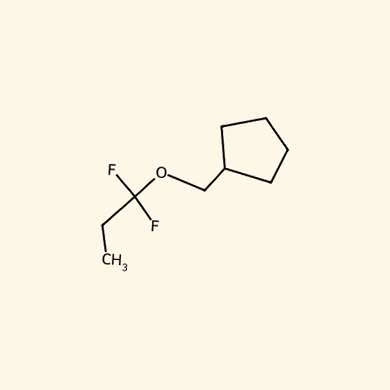 CCC(F)(F)OCC1CCCC1